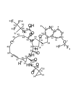 Cc1nc2ccc(OC(F)F)cc2c2c1O[C@]1(CC2)C[C@H]2C(=O)N[C@]3(C(=O)NS(=O)(=O)C4(C)CC4)C[C@H]3/C=C\CCCCC[C@H](N(C(=O)O)C(C)(C)C(F)(F)F)C(=O)N2C1